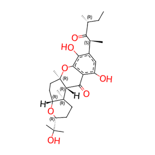 CC[C@@H](C)C(=O)[C@@H](C)c1cc(O)c2c(c1O)O[C@]1(C)CC[C@H]3O[C@@H](C(C)(C)O)CC[C@]3(C)[C@H]1C2=O